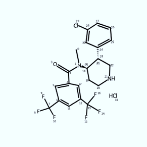 CN(C(=O)c1cc(C(F)(F)F)cc(C(F)(F)F)c1)[C@@H]1CCNC[C@H]1c1cccc(Cl)c1.Cl